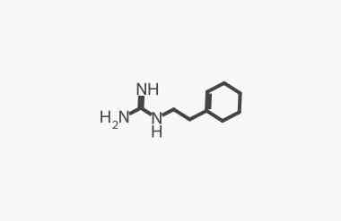 N=C(N)NCCC1=CCCCC1